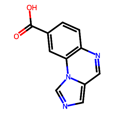 O=C(O)c1ccc2ncc3cncn3c2c1